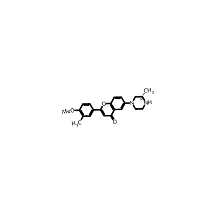 COc1ccc(-c2cc(=O)c3cc(N4CCN[C@@H](C)C4)ccc3o2)cc1C